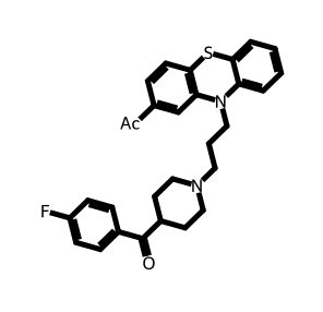 CC(=O)c1ccc2c(c1)N(CCCN1CCC(C(=O)c3ccc(F)cc3)CC1)c1ccccc1S2